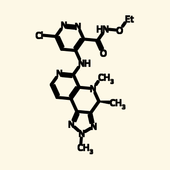 CCONC(=O)c1nnc(Cl)cc1Nc1nccc2c1N(C)[C@@H](C)c1nn(C)nc1-2